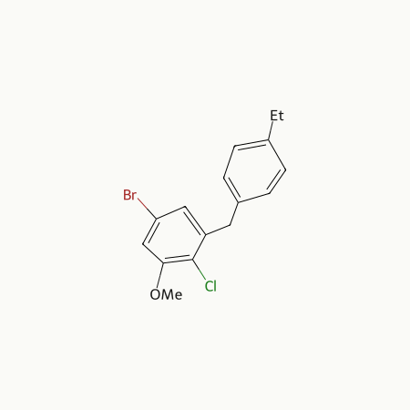 CCc1ccc(Cc2cc(Br)cc(OC)c2Cl)cc1